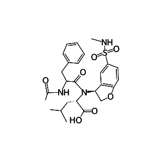 CNS(=O)(=O)c1ccc2c(c1)[C@H](N(C(=O)C(Cc1ccccc1)NC(C)=O)[C@@H](CC(C)C)C(=O)O)CO2